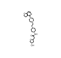 O=C(CC1C[C@H](O)CO1)N[C@H]1CC[C@H](CCN2CCN(c3nccc4c3CCO4)CC2)CC1